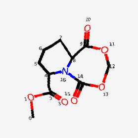 COC(=O)C1CCCC2C(=O)OCOC(=O)N12